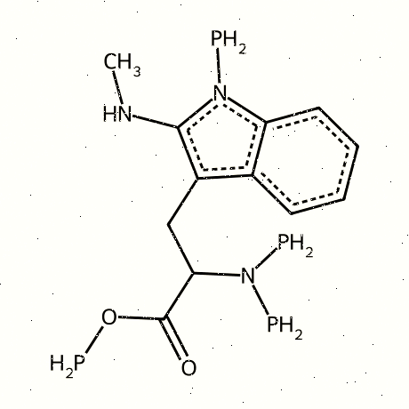 CNc1c(CC(C(=O)OP)N(P)P)c2ccccc2n1P